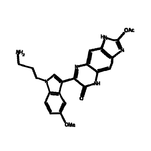 COc1ccc2c(c1)c(-c1nc3cc4[nH]c(OC(C)=O)nc4cc3[nH]c1=O)cn2CCCN